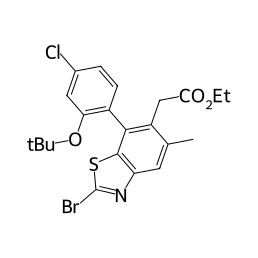 CCOC(=O)Cc1c(C)cc2nc(Br)sc2c1-c1ccc(Cl)cc1OC(C)(C)C